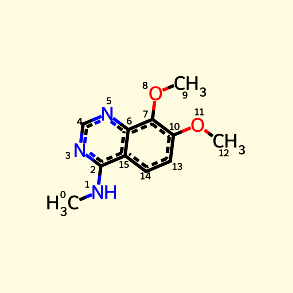 CNc1ncnc2c(OC)c(OC)ccc12